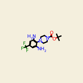 CC(C)(C)OC(=O)N1CCN(c2c(N)cc(C(F)(F)F)cc2N)CC1